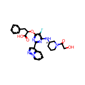 O=C(O)C(Cc1ccccc1)Oc1nc(-c2cnn3ccccc23)nc(N[C@@H]2CCCN(C(=O)CO)C2)c1F